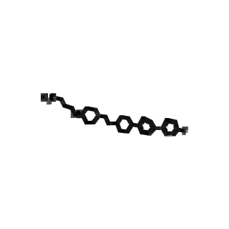 CCCCC[SiH]1CCC(CCC2CCC(c3ccc(-c4ccc(F)cc4)cc3)CC2)CC1